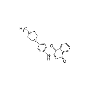 CN1CCN(c2ccc(NC3=CC(=O)c4ccccc4C3=O)cc2)CC1